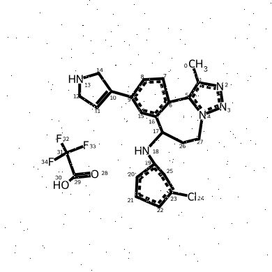 Cc1nnn2c1-c1ccc(C3=CCNC3)cc1C(Nc1cccc(Cl)c1)CC2.O=C(O)C(F)(F)F